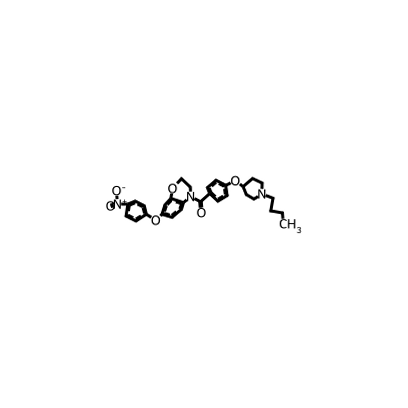 CCCCN1CCC(Oc2ccc(C(=O)N3CCOc4cc(Oc5ccc([N+](=O)[O-])cc5)ccc43)cc2)CC1